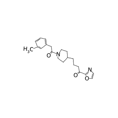 Cc1cccc(CC(=O)N2CCC(CCCC(=O)c3ncco3)CC2)c1